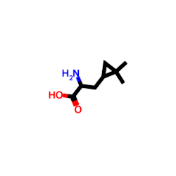 CC1(C)CC1CC(N)C(=O)O